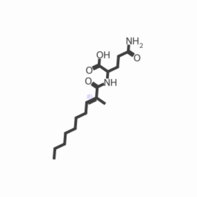 CCCCCCC/C=C(\C)C(=O)NC(CCC(N)=O)C(=O)O